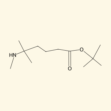 CNC(C)(C)CCCC(=O)OC(C)(C)C